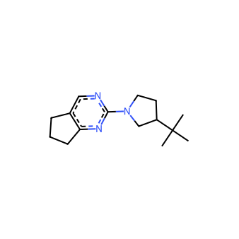 CC(C)(C)C1CCN(c2ncc3c(n2)CCC3)C1